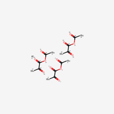 CC(C)(C)C(=O)OC(=O)C(=O)C(C)(C)C.CC(C)(C)C(=O)OC(=O)C(=O)C(C)(C)C.CC(C)(C)C(=O)OC(=O)C(=O)C(C)(C)C.[Al]